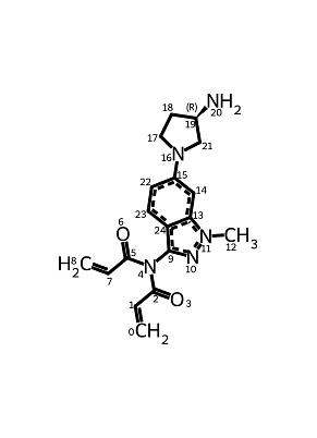 C=CC(=O)N(C(=O)C=C)c1nn(C)c2cc(N3CC[C@@H](N)C3)ccc12